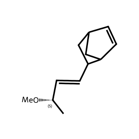 CO[C@@H](C)C=CC1CC2C=CC1C2